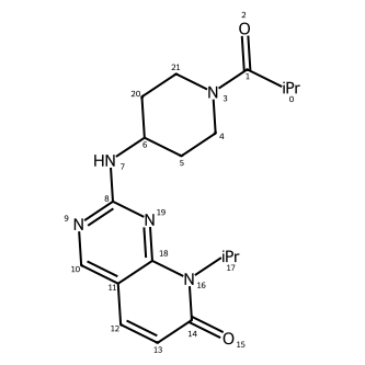 CC(C)C(=O)N1CCC(Nc2ncc3ccc(=O)n(C(C)C)c3n2)CC1